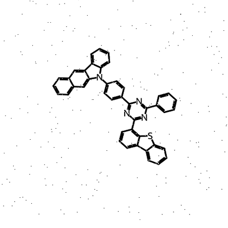 c1ccc(-c2nc(-c3ccc(-n4c5ccccc5c5cc6ccccc6cc54)cc3)nc(-c3cccc4c3sc3ccccc34)n2)cc1